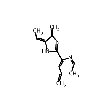 C=C/C=C(\N=C/C)c1nc(=C)/c(=C\C)[nH]1